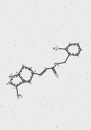 Cc1ccccc1CNC(=O)/C=C/c1ccc2[nH]nc(N)c2c1